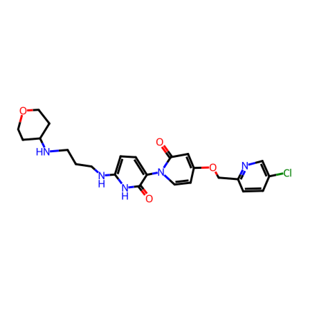 O=c1[nH]c(NCCCNC2CCOCC2)ccc1-n1ccc(OCc2ccc(Cl)cn2)cc1=O